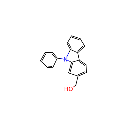 OCc1ccc2c3ccccc3n(-c3ccccc3)c2c1